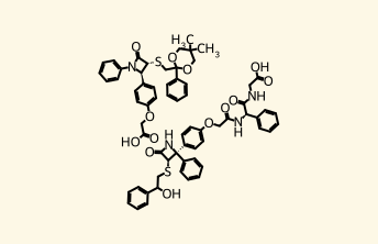 CC1(C)COC(CS[C@H]2C(=O)N(c3ccccc3)[C@@H]2c2ccc(OCC(=O)O)cc2)(c2ccccc2)OC1.O=C(O)CNC(=O)[C@H](NC(=O)COc1ccc([C@@]2(c3ccccc3)NC(=O)[C@@H]2SCC(O)c2ccccc2)cc1)c1ccccc1